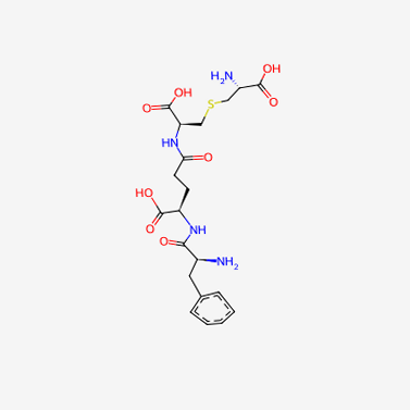 N[C@@H](CSC[C@@H](NC(=O)CC[C@@H](NC(=O)[C@@H](N)Cc1ccccc1)C(=O)O)C(=O)O)C(=O)O